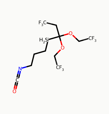 O=C=NCCC[SiH2]C(CC(F)(F)F)(OCC(F)(F)F)OCC(F)(F)F